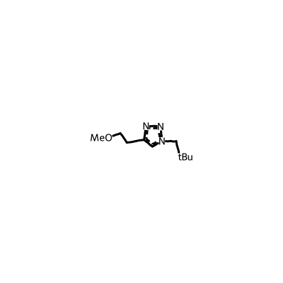 COCCc1cn(CC(C)(C)C)nn1